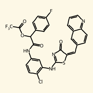 O=C1N=C(Nc2cc(NC(=O)C(OC(=O)C(F)(F)F)c3ccc(F)cc3)ccc2Cl)SC1=Cc1ccc2ncccc2c1